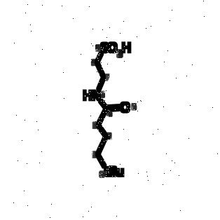 CC(C)(C)CCCC(=O)NCCS(=O)(=O)O